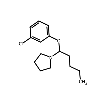 CCCCC(Oc1cccc(Cl)c1)N1CCCC1